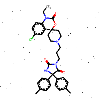 Cc1ccc(C2(c3ccc(C)cc3)NC(=O)N(CCCN3CCC4(CC3)OC(=O)N(CC(F)(F)F)c3ccc(Cl)cc34)C2=O)cc1